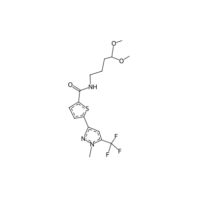 COC(CCCNC(=O)c1ccc(-c2cc(C(F)(F)F)n(C)n2)s1)OC